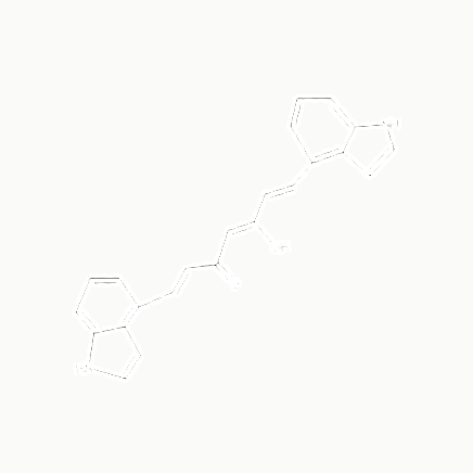 O=C(/C=C(O)/C=C/c1cccc2[nH]ccc12)/C=C/c1cccc2[nH]ccc12